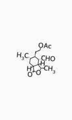 CC(=O)OCC[C@H]1[C@H](C=O)[C@@H]2[C@@H](C)OC(=O)[C@@H]2C[C@@H]1C